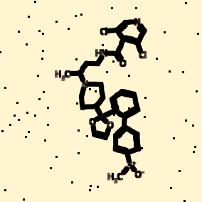 CC(CCNC(=O)c1c(Cl)cncc1Cl)N1CCC(C2(c3ccccc3-c3ccc([S+](C)[O-])cc3)OC=CO2)CC1